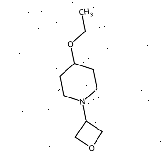 CCOC1CCN(C2COC2)CC1